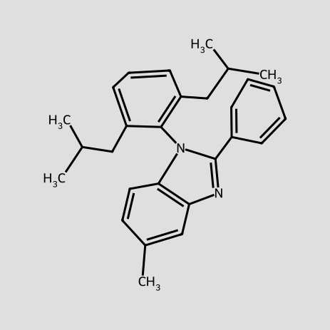 Cc1ccc2c(c1)nc(-c1ccccc1)n2-c1c(CC(C)C)cccc1CC(C)C